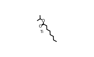 CCCCCCCC(=O)OC(C)C.[Ti]